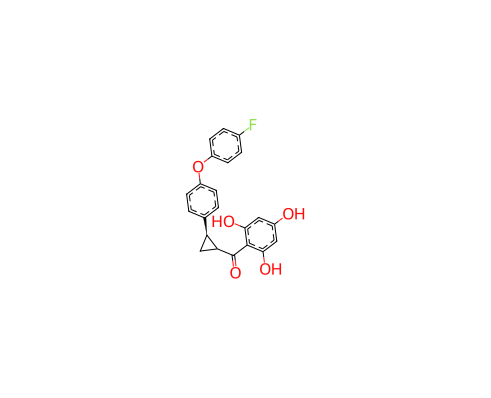 O=C(c1c(O)cc(O)cc1O)C1C[C@H]1c1ccc(Oc2ccc(F)cc2)cc1